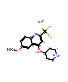 COc1ccc2nc(C(F)(F)F)cc(OC3CCNCC3)c2c1.Cl